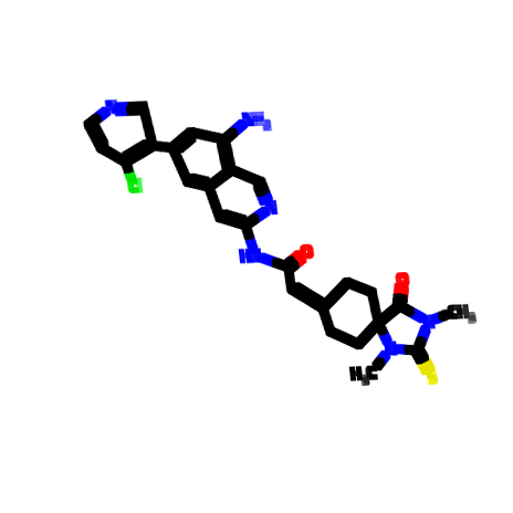 CN1C(=O)C2(CCC(=CC(=O)Nc3cc4cc(-c5cnccc5Cl)cc(N)c4cn3)CC2)N(C)C1=S